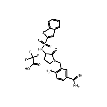 N=C(N)c1ccc(N)c(CN2CCC(NS(=O)(=O)c3cc4ccccc4s3)C2=O)c1.O=C(O)C(F)(F)F